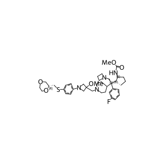 COC(=O)N[C@H]1CCC[C@@H]1[C@](CN1CCC1)(c1cccc(F)c1)C1CCN(CC2(OC)CN(c3ccc(SC[C@H]4COCCO4)cc3)C2)CC1